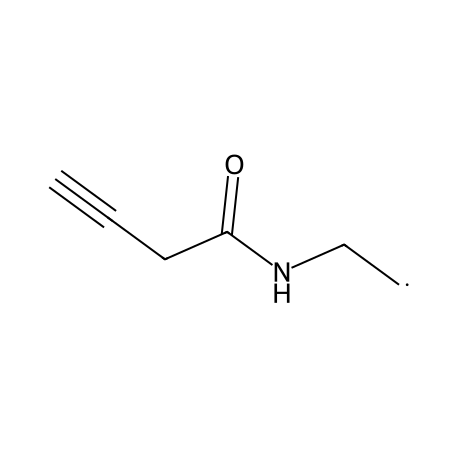 C#CCC(=O)NC[CH2]